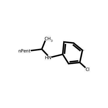 CCCCCC(C)Nc1cc[c]c(Cl)c1